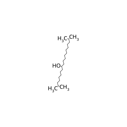 CC(C)CCCCCCCCCC(O)CCCCCCC(C)C